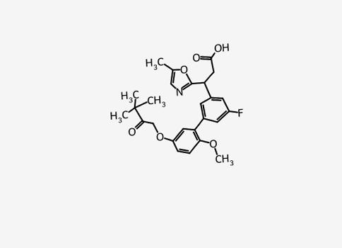 COc1ccc(OCC(=O)C(C)(C)C)cc1-c1cc(F)cc(C(CC(=O)O)c2ncc(C)o2)c1